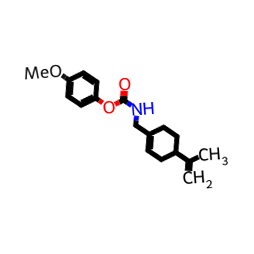 C=C(C)C1CC=C(CNC(=O)Oc2ccc(OC)cc2)CC1